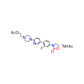 CC(=O)NC[C@H]1CN(c2ccc(-c3ccc(N4CCN(CCOC(C)=O)CC4)nc3)c(F)c2)C(=O)O1